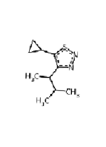 CC(C)C(C)c1nnsc1C1CC1